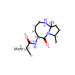 CCC12CCC(C)N1C(=O)[C@@H](NC(=O)[C@H](C)NC)CCCN2